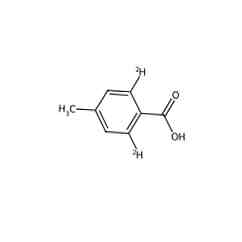 [2H]c1cc(C)cc([2H])c1C(=O)O